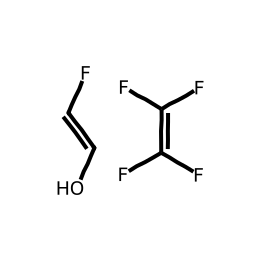 FC(F)=C(F)F.OC=CF